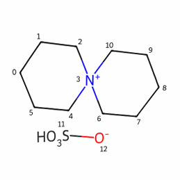 C1CC[N+]2(CC1)CCCCC2.O=S(=O)([O-])O